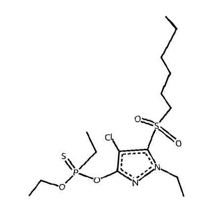 CCCCCCS(=O)(=O)c1c(Cl)c(OP(=S)(CC)OCC)nn1CC